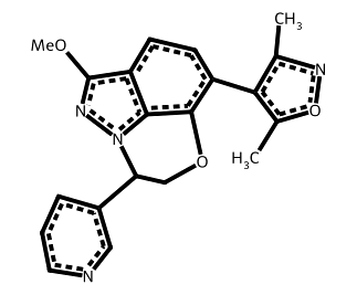 COc1nn2c3c(c(-c4c(C)noc4C)ccc13)OCC2c1cccnc1